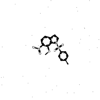 COc1c([N+](=O)[O-])ccc2ccn(S(=O)(=O)c3ccc(C)cc3)c12